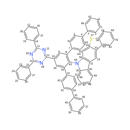 c1ccc(-c2ccc(-c3cc(-c4nc(-c5ccccc5)nc(-c5ccccc5)n4)cc(-c4ccc(-c5ccccc5)cc4)c3-n3c4ccccc4c4cc5c(cc43)sc3ccccc35)cc2)cc1